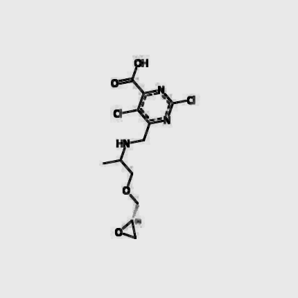 CC(COC[C@@H]1CO1)NCc1nc(Cl)nc(C(=O)O)c1Cl